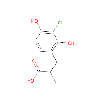 CC(Cc1ccc(O)c(Cl)c1O)C(=O)O